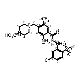 CCS(=O)(=O)c1ccc(Cl)cc1NNC(=O)c1cc(C(F)(F)F)c(CN2CCN(C(=O)O)CC2)cc1N